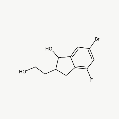 OCCC1Cc2c(F)cc(Br)cc2C1O